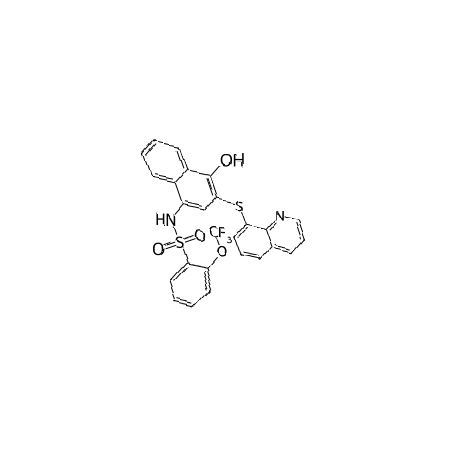 O=S(=O)(Nc1cc(Sc2cccc3cccnc23)c(O)c2ccccc12)c1ccccc1OC(F)(F)F